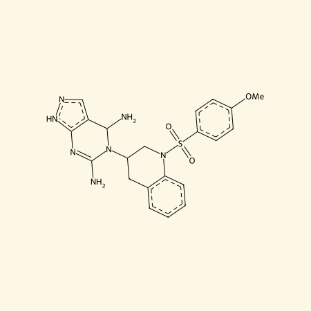 COc1ccc(S(=O)(=O)N2CC(N3C(N)=Nc4[nH]ncc4C3N)Cc3ccccc32)cc1